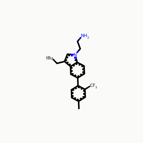 Cc1ccc(-c2ccc3c(c2)c(CC(C)(C)C)cn3CCN)c(C(F)(F)F)c1